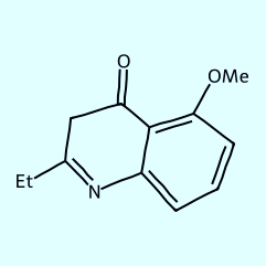 CCC1=Nc2cccc(OC)c2C(=O)C1